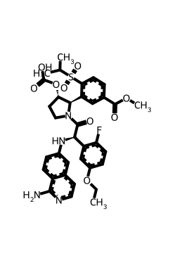 CCOc1ccc(F)c([C@@H](Nc2ccc3c(N)nccc3c2)C(=O)N2CC[C@H](OC(=O)O)[C@H]2c2cc(C(=O)OC)ccc2S(=O)(=O)C(C)C)c1